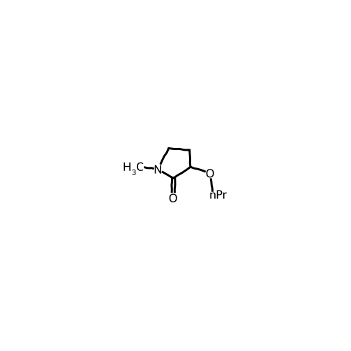 CCCOC1CCN(C)C1=O